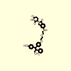 CC/C(=C(\c1ccc(O)cc1)c1ccc(OCCOCCNc2ccc3c(c2)CN(C2CCC(=O)NC2=O)C3=O)cc1)c1ccccc1